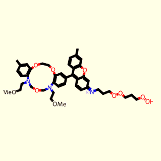 COCCN1COCN(CCOC)c2ccc(-c3c4cc/c(=N/CCCOOCCCOO)cc-4oc4cc(C)ccc34)cc2OCCOc2cc(C)ccc21